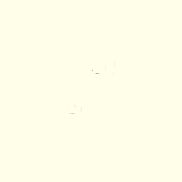 CCCc1ccc(C2CCC(CCc3ccc(OC(F)(F)C(F)C(F)(F)F)c(Cl)c3)CC2)c(F)c1